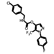 O=C(NCc1ccc(Cl)cc1)Oc1cnn(-c2ccc(F)cc2)c1C(F)(F)F